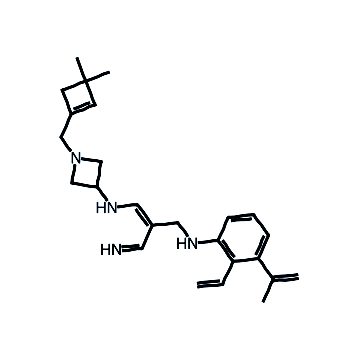 C=Cc1c(NC/C(C=N)=C/NC2CN(CC3=CC(C)(C)C3)C2)cccc1C(=C)C